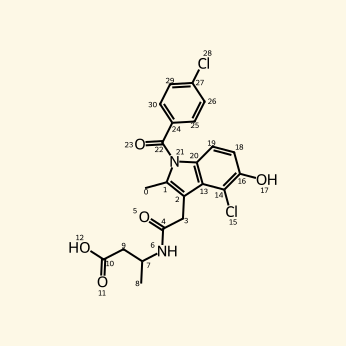 Cc1c(CC(=O)NC(C)CC(=O)O)c2c(Cl)c(O)ccc2n1C(=O)c1ccc(Cl)cc1